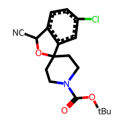 CC(C)(C)OC(=O)N1CCC2(CC1)OC(C#N)c1ccc(Cl)cc12